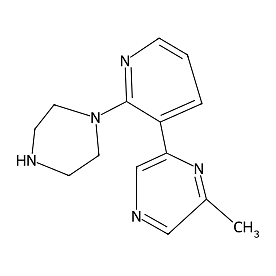 Cc1cncc(-c2cccnc2N2CCNCC2)n1